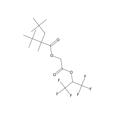 CC(C)(C)CC(C)(C(=O)OCC(=O)OC(C(F)(F)F)C(F)(F)F)C(C)(C)C